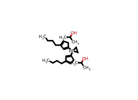 CC(C)O.CC(C)O.CCCCC1=CC[C]([Hf]2([C]3=CC(CCCC)=CC3)[CH2][CH2]2)=C1